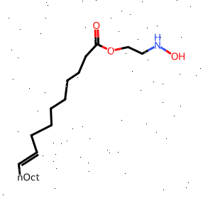 CCCCCCCCC=CCCCCCCCC(=O)OCCNO